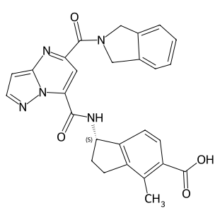 Cc1c(C(=O)O)ccc2c1CC[C@@H]2NC(=O)c1cc(C(=O)N2Cc3ccccc3C2)nc2ccnn12